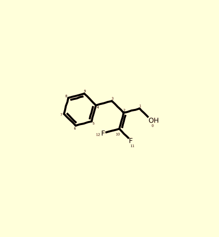 OCC(Cc1ccccc1)=C(F)F